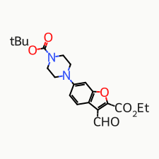 CCOC(=O)c1oc2cc(N3CCN(C(=O)OC(C)(C)C)CC3)ccc2c1C=O